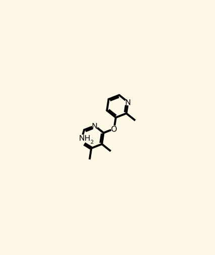 C=C(C)/C(C)=C(\N=C/N)Oc1cccnc1C